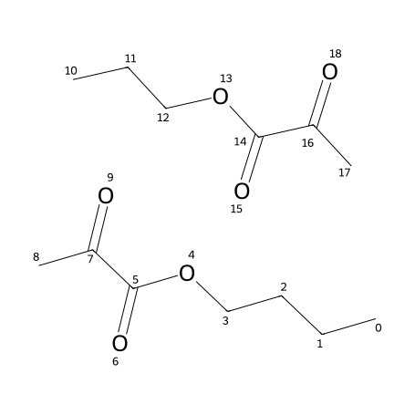 CCCCOC(=O)C(C)=O.CCCOC(=O)C(C)=O